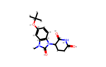 Cn1c(=O)n(C2CCC(=O)NC2=O)c2ccc(OC(C)(C)C)cc21